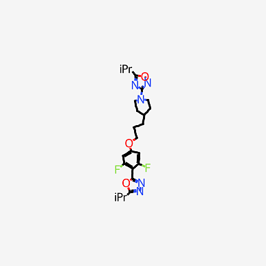 CC(C)c1nc(N2CCC(CCCOc3cc(F)c(-c4nnc(C(C)C)o4)c(F)c3)CC2)no1